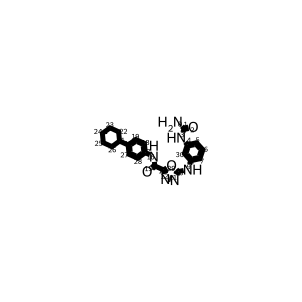 NC(=O)Nc1cccc(Nc2nnc(C(=O)Nc3ccc(C4CC[CH]CC4)cc3)o2)c1